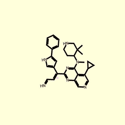 CN(c1nc(/C(=C/C=N)c2c[nH]c(-c3ccccc3)c2)nc2cncc(C3CC3)c12)C1CCNCC1(C)C